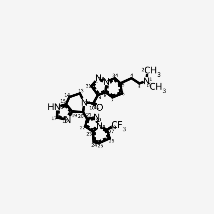 CN(C)CCc1ccc2c(C(=O)N3CCc4[nH]cnc4C3c3cc4cccc(C(F)(F)F)n4n3)cnn2c1